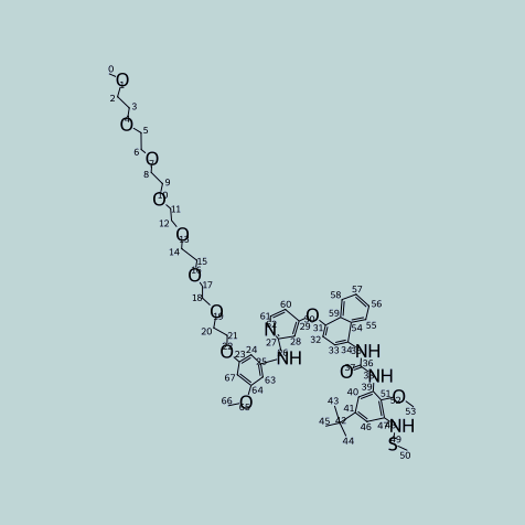 COCCOCCOCCOCCOCCOCCOCCOc1cc(Nc2cc(Oc3ccc(NC(=O)Nc4cc(C(C)(C)C)cc(NSC)c4OC)c4ccccc34)ccn2)cc(OC)c1